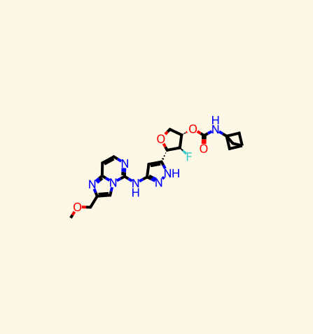 COCc1cn2c(Nc3cc([C@@H]4OC[C@H](OC(=O)NC56CC(C5)C6)[C@H]4F)[nH]n3)nccc2n1